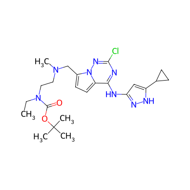 CCN(CCN(C)Cc1ccc2c(Nc3cc(C4CC4)[nH]n3)nc(Cl)nn12)C(=O)OC(C)(C)C